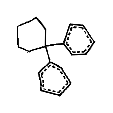 [C]1CCCCC1(c1ccccc1)c1ccccc1